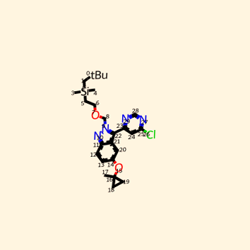 CC(C)(C)C[Si](C)(C)CCOCn1nc2ccc(OC3(C)CC3)cc2c1-c1cc(Cl)ncn1